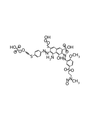 COc1ccc(S(=O)(=O)CCN(C)N=O)cc1N=Nc1c(S(=O)(=O)O)cc2cc(SOOO)c(N=Nc3ccc(SC#COOS(=O)(=O)O)cc3)c(N)c2c1O